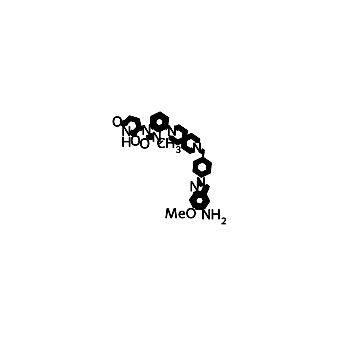 COc1cc2nn([C@H]3CC[C@H](CN4CCC5(CC4)CCN(c4cccc6c4n(C)c(=O)n6C4CCC(=O)NC4=O)CC5)CC3)cc2cc1N